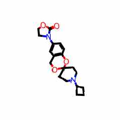 O=C1OCCN1c1ccc2c(c1)COC1(CCN(C3CCC3)CC1)O2